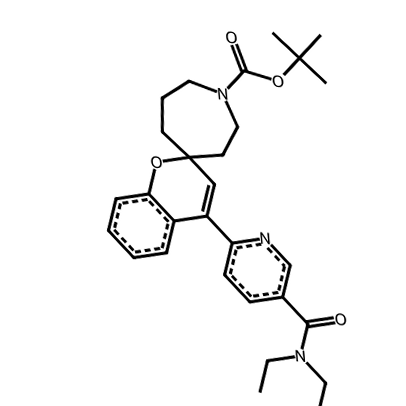 CCN(CC)C(=O)c1ccc(C2=CC3(CCCN(C(=O)OC(C)(C)C)CC3)Oc3ccccc32)nc1